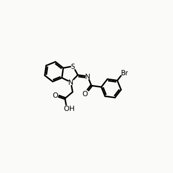 O=C(O)Cn1c(=NC(=O)c2cccc(Br)c2)sc2ccccc21